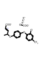 CC(/C=C/C(=O)[O-])Oc1ccc(Oc2ccc(C(F)(F)F)cc2Cl)cc1.O=C([O-])[O-].[K+].[K+].[K+]